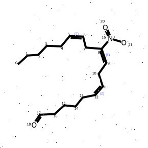 CCCCC/C=C\C/C(=C\C/C=C\CCCC[C]=O)[N+](=O)[O-]